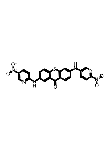 O=c1c2ccc(Nc3ccc([N+](=O)[O-])nc3)cc2sc2ccc(Nc3ccc([N+](=O)[O-])cn3)cc12